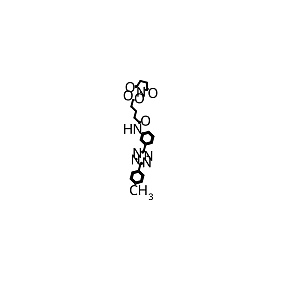 Cc1ccc(-c2nnc(-c3cccc(NC(=O)CCCC(=O)ON4C(=O)CCC4=O)c3)nn2)cc1